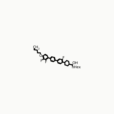 C=CCCCOc1ccc(-c2ccc(-c3ccc(C4CCC(C(O)CCCCCC)CC4)c(F)c3)cc2)c(F)c1F